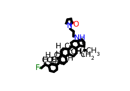 C=C(C)[C@@H]1CC[C@]2(NCCCN3CCCC3=O)CC[C@]3(C)[C@H](CC[C@@H]4[C@@]5(C)CC=C(C6=CC(C(CF)C(=O)O)CCC6)C(C)(C)[C@@H]5CC[C@]43C)[C@@H]12